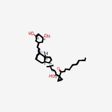 CCCCCCCCC(=O)C1([C@@H](O)/C=C/C(C)(C)[C@H]2CC[C@H]3/C(=C/C=C4C[C@@H](O)C[C@H](O)C4)CCC[C@]23C)CC1